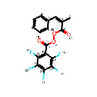 CC(=Cc1ccccc1)C(=O)OOC(=O)c1c(F)c(F)c(F)c(F)c1F